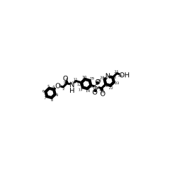 O=C(COc1ccccc1)NCc1ccc(S(=O)(=O)C(=O)c2ccc(CO)nc2)cc1